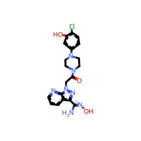 N/C(=N\O)c1nn(CC(=O)N2CCN(c3ccc(Cl)c(O)c3)CC2)c2ncccc12